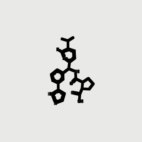 CC(C)c1ccc(C(NC(=O)C2CCCC2C(=O)O)c2cccc(-c3ccn[nH]3)c2)nc1F